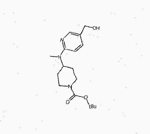 CN(c1ccc(CO)cn1)C1CCN(C(=O)OC(C)(C)C)CC1